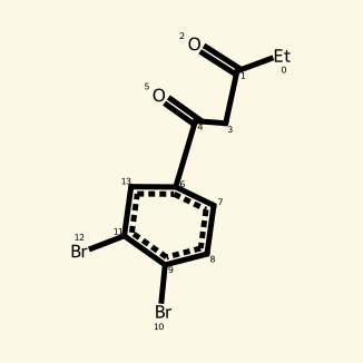 CCC(=O)CC(=O)c1ccc(Br)c(Br)c1